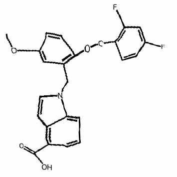 COc1ccc(OCc2ccc(F)cc2F)c(Cn2ccc3c(C(=O)O)cccc32)c1